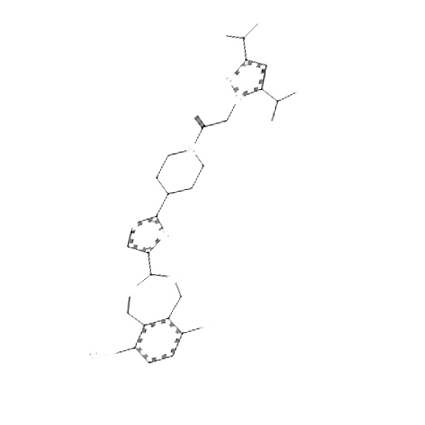 COc1ccc(Cl)c2c1COC(c1csc(C3CCN(C(=O)Cn4nc(C(F)F)cc4C(F)F)CC3)n1)OC2